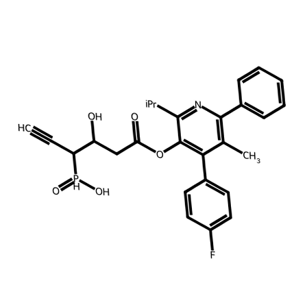 C#CC(C(O)CC(=O)Oc1c(C(C)C)nc(-c2ccccc2)c(C)c1-c1ccc(F)cc1)[PH](=O)O